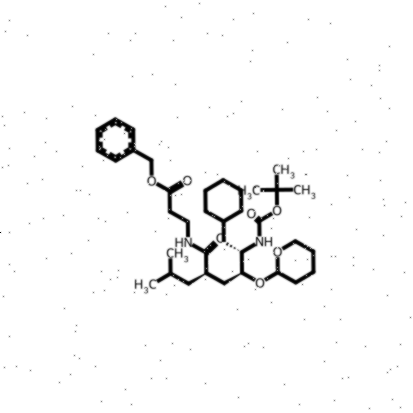 CC(C)C[C@H](C[C@H](OC1CCCCO1)[C@H](CC1CCCCC1)NC(=O)OC(C)(C)C)C(=O)NCCC(=O)OCc1ccccc1